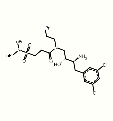 CCCN(CCC)S(=O)(=O)CCC(=O)N(CCC(C)C)C[C@@H](O)[C@@H](N)Cc1cc(Cl)cc(Cl)c1